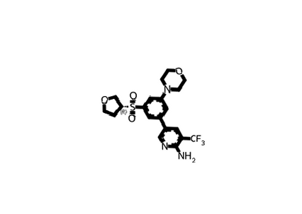 Nc1ncc(-c2cc(N3CCOCC3)cc(S(=O)(=O)[C@@H]3CCOC3)c2)cc1C(F)(F)F